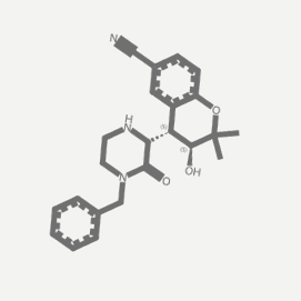 CC1(C)Oc2ccc(C#N)cc2[C@@H](C2NCCN(Cc3ccccc3)C2=O)[C@@H]1O